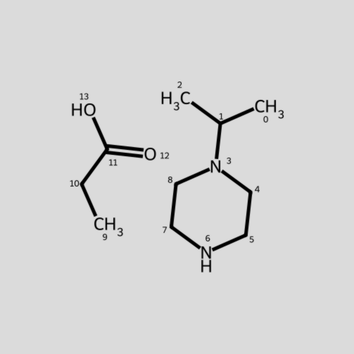 CC(C)N1CCNCC1.CCC(=O)O